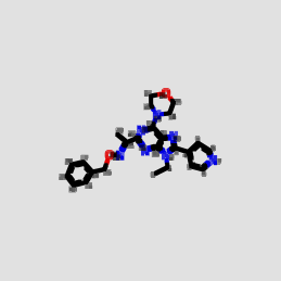 CCn1c(-c2ccncc2)nc2c(N3CCOCC3)nc(/C(C)=N/OCc3ccccc3)nc21